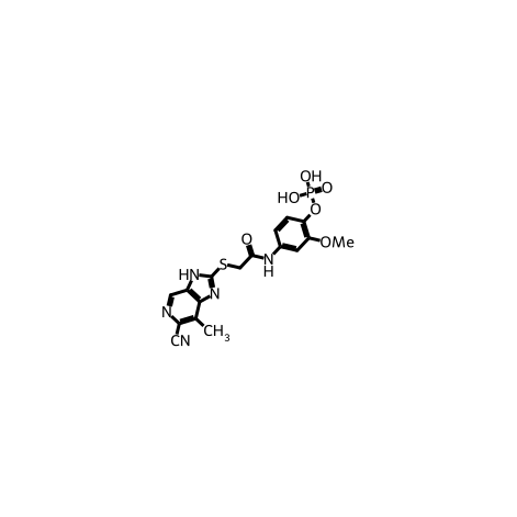 COc1cc(NC(=O)CSc2nc3c(C)c(C#N)ncc3[nH]2)ccc1OP(=O)(O)O